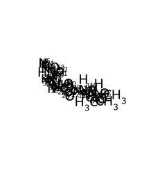 COC(=O)NC(C(=O)N1CCC[C@H]1c1ncc(-c2cc3c4c(c2)OCc2cc(-c5cnc([C@@H]6CCCN6C(=O)[C@H](NC(=O)C6=CC=NCN6)C6=C=C=CC=C6)[nH]5)cc(c2-4)OC3)[nH]1)C(C)C